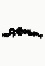 OCc1cccc(-c2cnc(N3CC(=NOC4CN(CCF)C4)C3)nc2)c1F